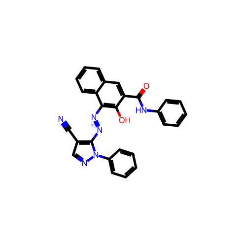 N#Cc1cnn(-c2ccccc2)c1/N=N/c1c(O)c(C(=O)Nc2ccccc2)cc2ccccc12